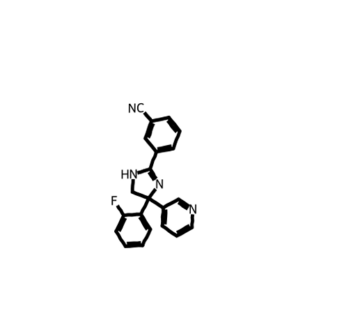 N#Cc1cccc(C2=NC(c3cccnc3)(c3ccccc3F)CN2)c1